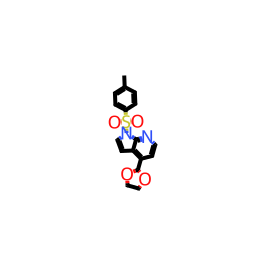 Cc1ccc(S(=O)(=O)n2ccc3c(C4OCCO4)ccnc32)cc1